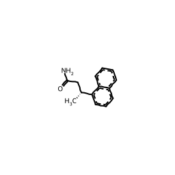 C[C@H](CC(N)=O)c1cccc2ccccc12